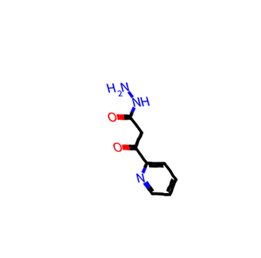 NNC(=O)CC(=O)c1ccccn1